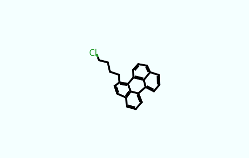 ClCCCCc1ccc2cccc3c4cccc5cccc(c1c23)c54